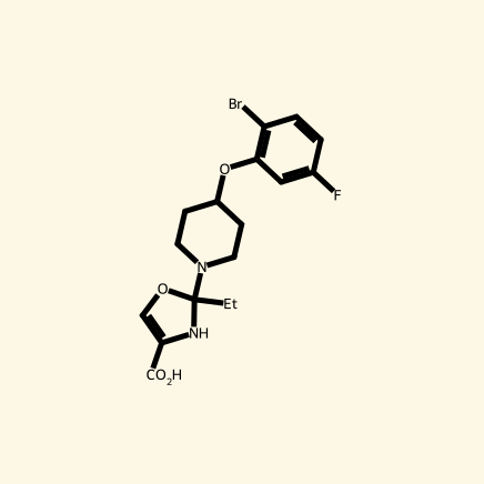 CCC1(N2CCC(Oc3cc(F)ccc3Br)CC2)NC(C(=O)O)=CO1